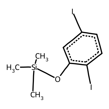 C[Si](C)(C)Oc1cc(I)ccc1I